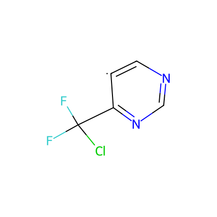 FC(F)(Cl)c1[c]cncn1